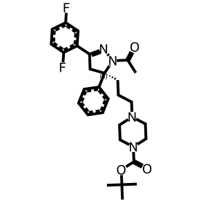 CC(=O)N1N=C(c2cc(F)ccc2F)C[C@]1(CCCN1CCN(C(=O)OC(C)(C)C)CC1)c1ccccc1